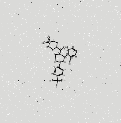 O=S1(=O)CCC(C(O)N2CCN(c3cnc(C(F)(F)F)cn3)CC2c2ccccc2F)CC1